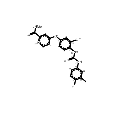 CNC(=O)c1cc(Oc2ccc(NC(=O)Nc3ccc(F)c(C)c3)c(Cl)c2)ccn1